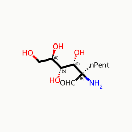 CCCCC[C@](N)(C=O)[C@@H](O)[C@H](O)[C@H](O)CO